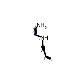 C=CC#CN/C=C\N